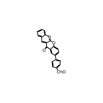 O=Cc1ccc(-c2ccc3oc4nc5ccccc5cc4c(=O)c3c2)cc1